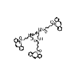 O=C(CCCCC(=O)N1Cc2ccccc2C#Cc2ccccc21)NCCN(CCNC(=O)CCCCC(=O)N1Cc2ccccc2C#Cc2ccccc21)CCNC(=O)CCCCC(=O)N1Cc2ccccc2C#Cc2ccccc21